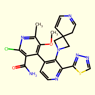 COc1c(C)nc(Cl)c(C(N)=O)c1-c1ccnc(-c2nncs2)c1N1CC2(C=CN=CC2)C1